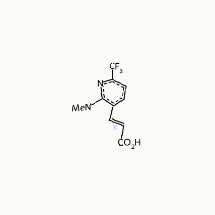 CNc1nc(C(F)(F)F)ccc1/C=C/C(=O)O